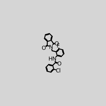 O=C(Nc1cccc(F)c1CN1C(=O)c2ccccc2C1=O)c1ccccc1Cl